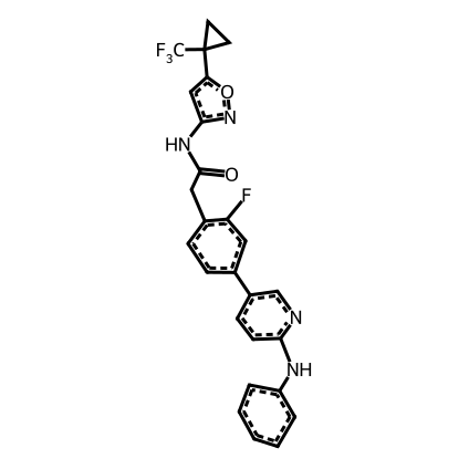 O=C(Cc1ccc(-c2ccc(Nc3ccccc3)nc2)cc1F)Nc1cc(C2(C(F)(F)F)CC2)on1